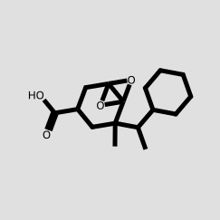 CC(C1CCCCC1)C1(C)CC(C(=O)O)CC23OC21O3